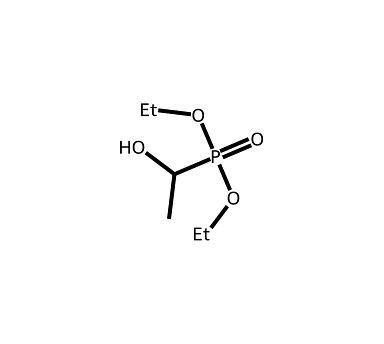 CCOP(=O)(OCC)C(C)O